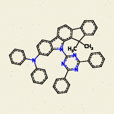 CC1(C)c2ccccc2-c2ccc3c4ccc(N(c5ccccc5)c5ccccc5)cc4n(-c4nc(-c5ccccc5)nc(-c5ccccc5)n4)c3c21